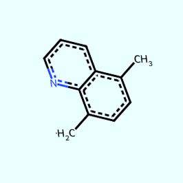 [CH2]c1ccc(C)c2cccnc12